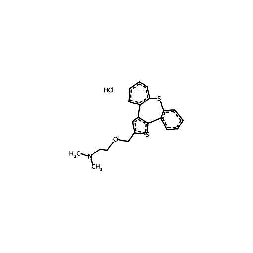 CN(C)CCOCc1cc2c(s1)-c1ccccc1Sc1ccccc1-2.Cl